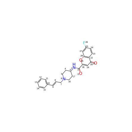 O=C(NC1CCN(C/C=C/c2ccccc2)CC1)c1cc(=O)c2ccc(F)cc2o1